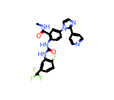 CNC(=O)c1cc(-n2ccnc2-c2ccncc2)ccc1NC(=O)Nc1cc(C(F)(F)F)ccc1F